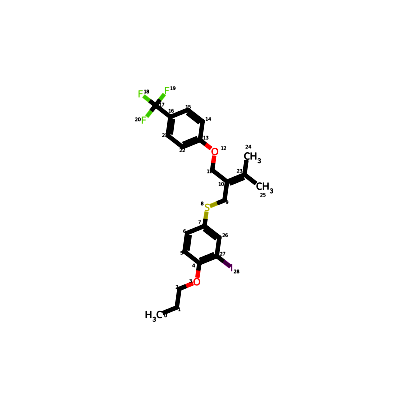 CCCOc1ccc(SCC(COc2ccc(C(F)(F)F)cc2)=C(C)C)cc1I